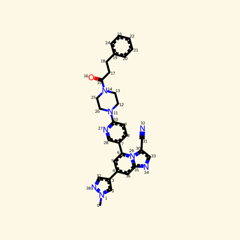 Cn1cc(-c2cc(-c3ccc(N4CCN(C(=O)CCc5ccccc5)CC4)nc3)n3c(C#N)cnc3c2)cn1